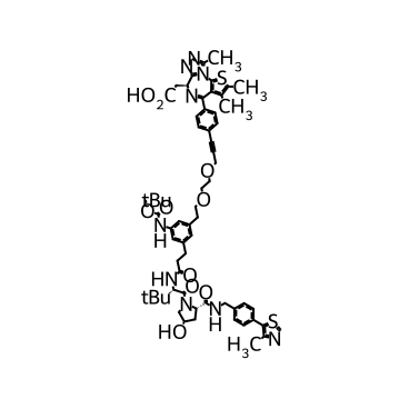 Cc1ncsc1-c1ccc(CNC(=O)[C@@H]2C[C@@H](O)CN2C(=O)[C@@H](NC(=O)CCc2cc(CCOCCOCC#Cc3ccc(C4=N[C@@H](CC(=O)O)c5nnc(C)n5-c5sc(C)c(C)c54)cc3)cc(NC(=O)OC(C)(C)C)c2)C(C)(C)C)cc1